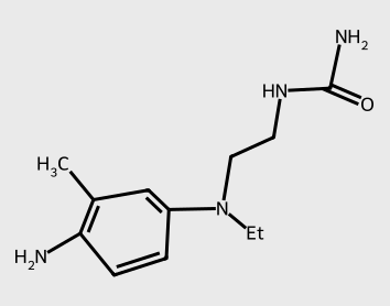 CCN(CCNC(N)=O)c1ccc(N)c(C)c1